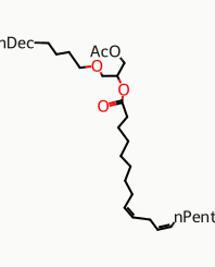 CCCCC/C=C\C/C=C\CCCCCCCC(=O)OC(COCCCCCCCCCCCCCC)COC(C)=O